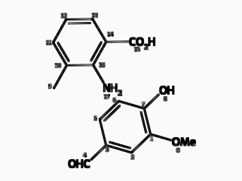 COc1cc(C=O)ccc1O.Cc1cccc(C(=O)O)c1N